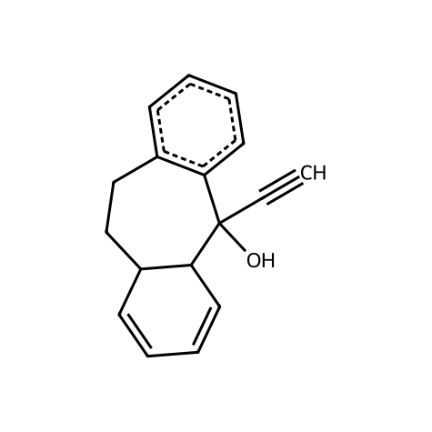 C#CC1(O)c2ccccc2CCC2C=CC=CC21